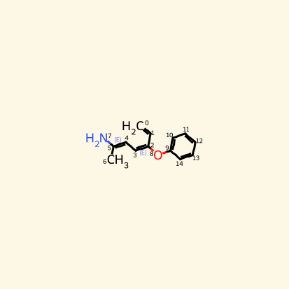 C=C/C(=C\C=C(/C)N)Oc1ccccc1